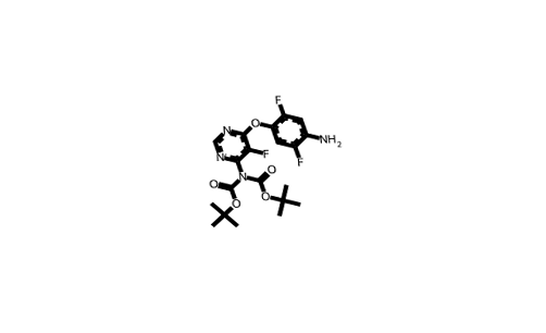 CC(C)(C)OC(=O)N(C(=O)OC(C)(C)C)c1ncnc(Oc2cc(F)c(N)cc2F)c1F